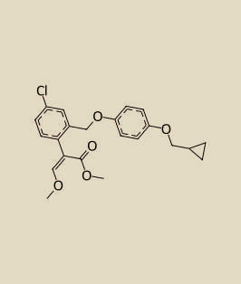 CO/C=C(\C(=O)OC)c1ccc(Cl)cc1COc1ccc(OCC2CC2)cc1